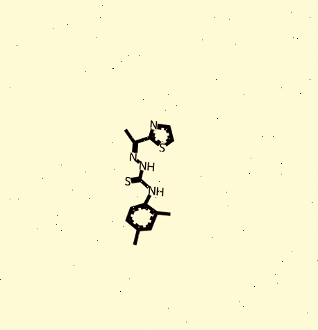 CC(=NNC(=S)Nc1ccc(C)cc1C)c1nccs1